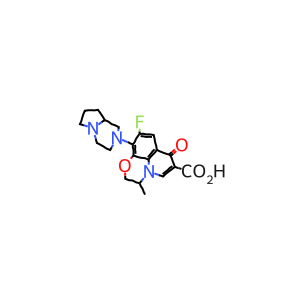 CC1COc2c(N3CCN4CCCC4C3)c(F)cc3c(=O)c(C(=O)O)cn1c23